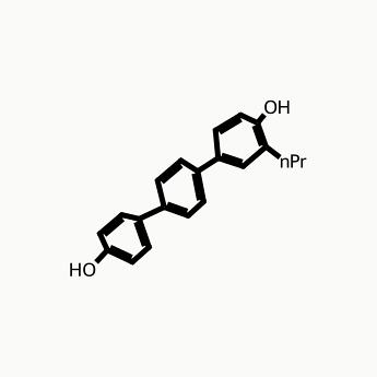 CCCc1cc(-c2ccc(-c3ccc(O)cc3)cc2)ccc1O